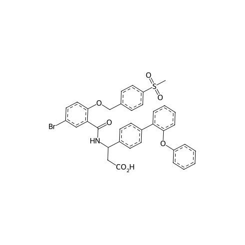 CS(=O)(=O)c1ccc(COc2ccc(Br)cc2C(=O)NC(CC(=O)O)c2ccc(-c3ccccc3Oc3ccccc3)cc2)cc1